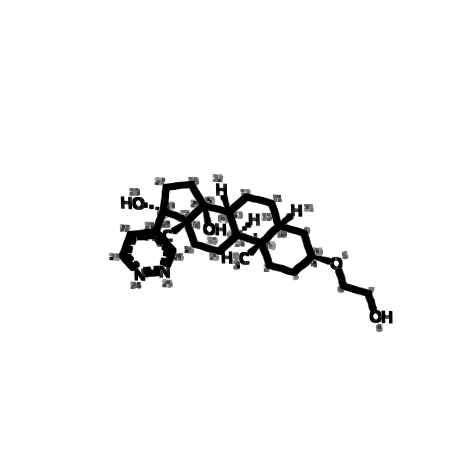 C[C@]12CC[C@H](OCCO)C[C@H]1CC[C@@H]1[C@@H]2CC[C@]2(C)[C@@](O)(c3ccnnc3)CC[C@]12O